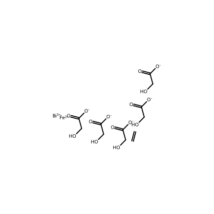 C=C.O=C([O-])CO.O=C([O-])CO.O=C([O-])CO.O=C([O-])CO.O=C([O-])CO.[Bi+3].[Fe+2]